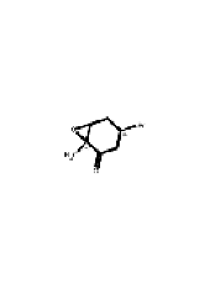 CC(C)[C@H]1CC(=O)[C@]2(C)OC2C1